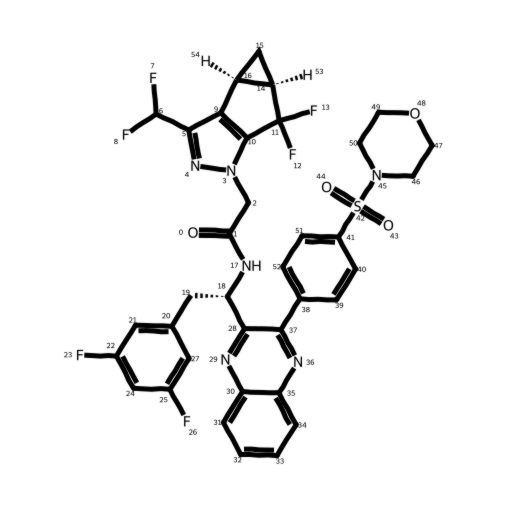 O=C(Cn1nc(C(F)F)c2c1C(F)(F)[C@@H]1C[C@H]21)N[C@@H](Cc1cc(F)cc(F)c1)c1nc2ccccc2nc1-c1ccc(S(=O)(=O)N2CCOCC2)cc1